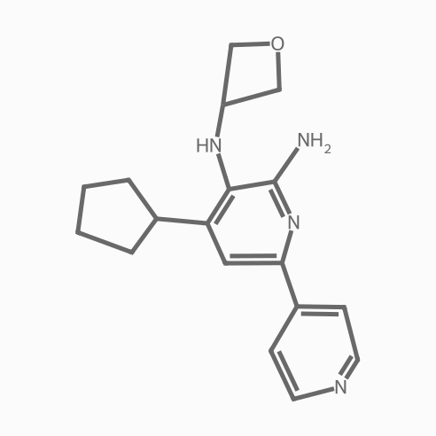 Nc1nc(-c2ccncc2)cc(C2CCCC2)c1NC1COC1